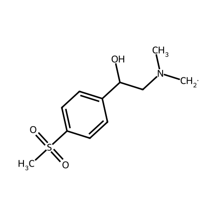 [CH2]N(C)CC(O)c1ccc(S(C)(=O)=O)cc1